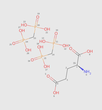 N[C@@H](CCC(=O)O)C(=O)O.O=P(O)(O)CP(=O)(O)O.O=P(O)(O)CP(=O)(O)O